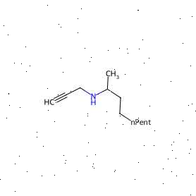 C#CCNC(C)CCCCCCC